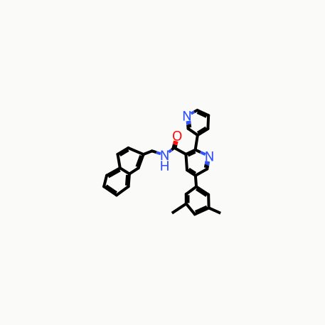 Cc1cc(C)cc(-c2cnc(-c3cccnc3)c(C(=O)NCc3ccc4ccccc4c3)c2)c1